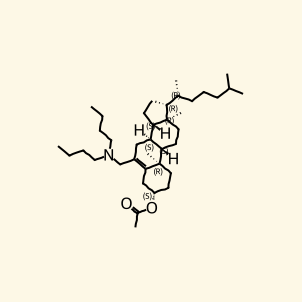 CCCCN(CCCC)CC1=C2C[C@@H](OC(C)=O)CC[C@]2(C)[C@H]2CC[C@]3(C)[C@@H]([C@H](C)CCCC(C)C)CC[C@H]3[C@@H]2C1